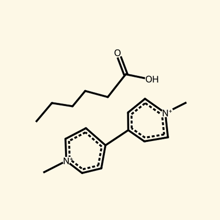 CCCCCC(=O)O.C[n+]1ccc(-c2cc[n+](C)cc2)cc1